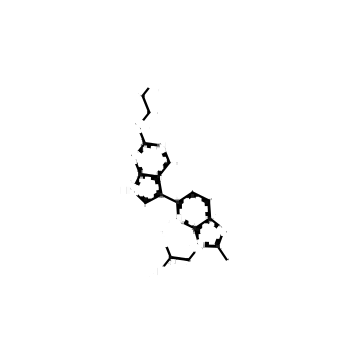 Cc1nc2ccc(-c3c[nH]c4nc(NCCC(F)(F)F)ncc34)nc2n1CC(F)F